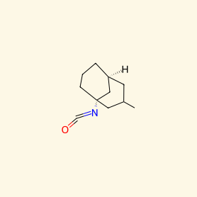 CC1C[C@@H]2CCC[C@](N=C=O)(C1)C2